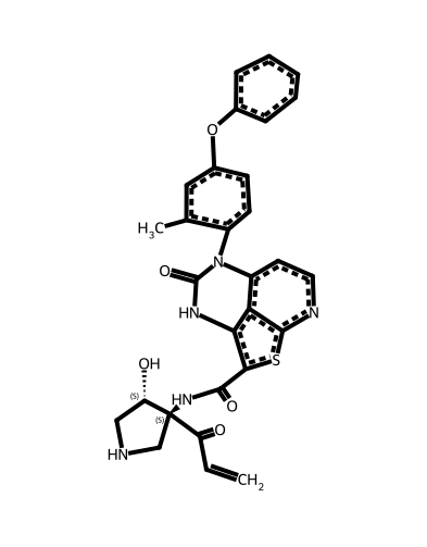 C=CC(=O)[C@]1(NC(=O)c2sc3nccc4c3c2NC(=O)N4c2ccc(Oc3ccccc3)cc2C)CNC[C@@H]1O